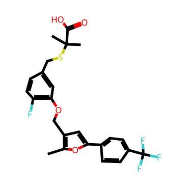 Cc1oc(-c2ccc(C(F)(F)F)cc2)cc1COc1cc(CSC(C)(C)C(=O)O)ccc1F